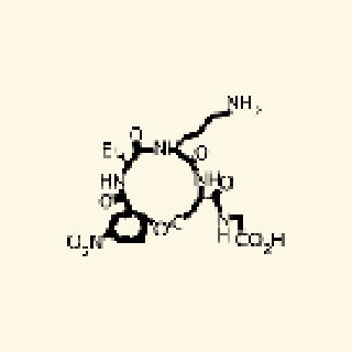 CC[C@@H]1NC(=O)c2cc([N+](=O)[O-])ccc2OCC[C@@H](C(=O)NCC(=O)O)NC(=O)[C@H](CCCCN)NC1=O